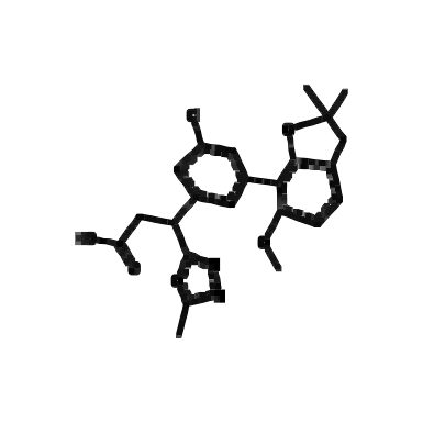 COc1ccc2c(c1-c1cc(Cl)cc(C(CC(=O)O)c3nnc(C)o3)c1)OC(C)(C)C2